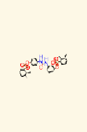 Cc1cccc(S(=O)(=O)Oc2ccc(NC(=O)Nc3ccccc3OS(=O)(=O)c3cccc(C)c3C)cc2)c1C